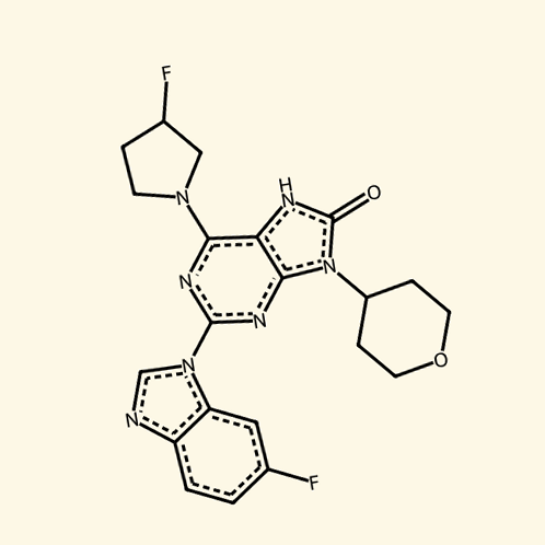 O=c1[nH]c2c(N3CCC(F)C3)nc(-n3cnc4ccc(F)cc43)nc2n1C1CCOCC1